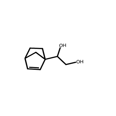 OCC(O)C12C=CC(CC1)C2